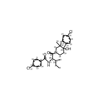 CC[C@H](C)[C@@H](NC(=O)c1ccc(Cl)cc1)C(=O)N1CCC(O)(c2ccc(Cl)cc2)C(C)(C)C1